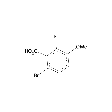 COc1ccc(Br)c(C(=O)O)c1F